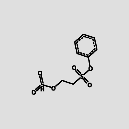 O=[SH](=O)OCCS(=O)(=O)Oc1ccccc1